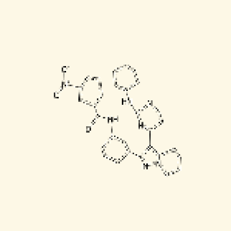 O=C(Nc1cccc(-c2nn3ccccc3c2-c2ccnc(Nc3ccccc3)n2)c1)c1cccc([N+](=O)[O-])c1